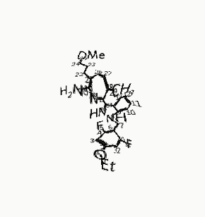 CCOc1cc(F)c(CNc2ccccc2C(=N)C2=NC(N)=C(CCCOC)C=C=C2C)c(F)c1